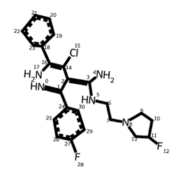 N=C(C(=C(/N)NCCN1CCC(F)C1)/C(Cl)=C(\N)c1ccccc1)c1ccc(F)cc1